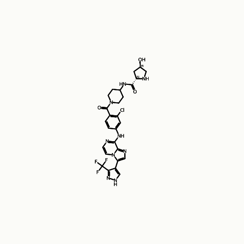 O=C(NC1CCN(C(=O)c2ccc(Nc3nccn4c(-c5c[nH]nc5C(F)(F)F)cnc34)cc2Cl)CC1)[C@@H]1C[C@@H](O)CN1